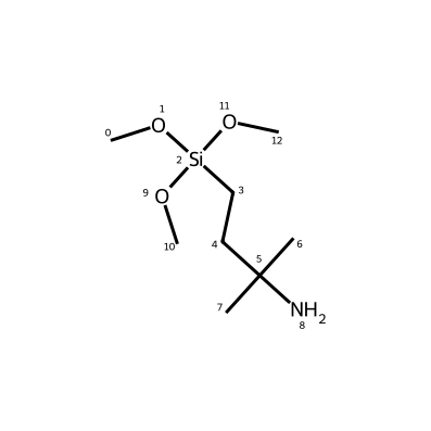 CO[Si](CCC(C)(C)N)(OC)OC